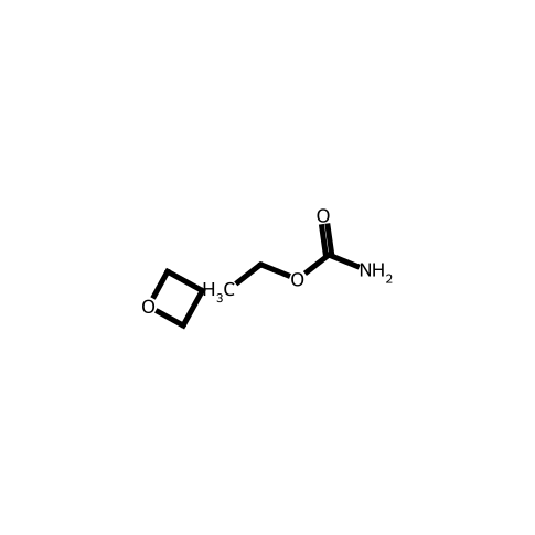 C1COC1.CCOC(N)=O